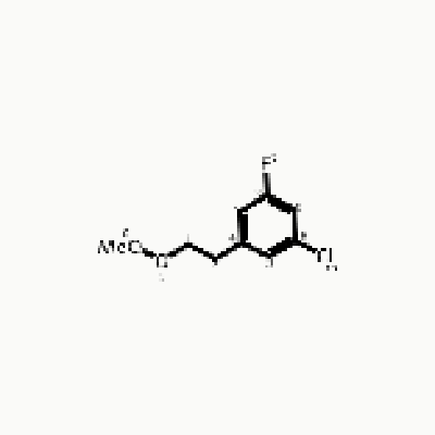 COOCCc1cc(F)cc(Cl)c1